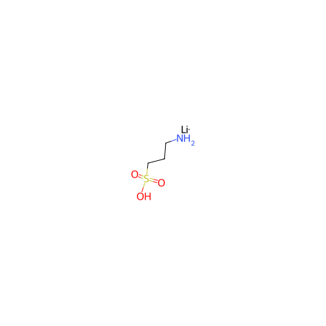 NCCCS(=O)(=O)O.[Li]